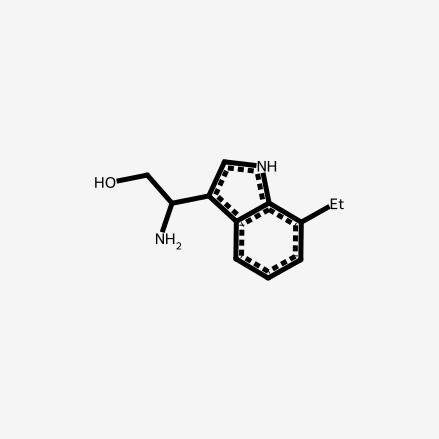 CCc1cccc2c(C(N)CO)c[nH]c12